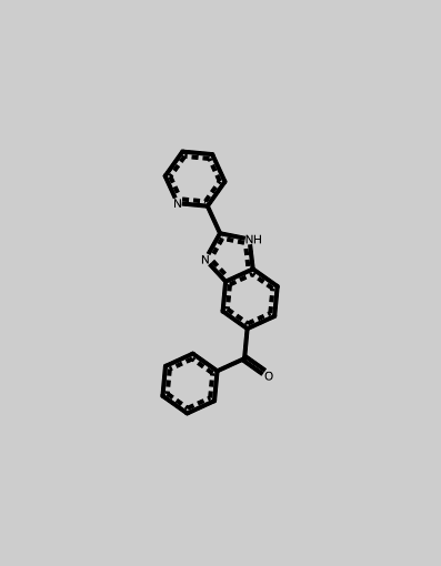 O=C(c1ccccc1)c1ccc2[nH]c(-c3ccccn3)nc2c1